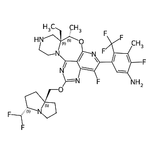 CC[C@]12CNCCN1c1nc(OC[C@@]34CCCN3[C@H](C(F)F)CC4)nc3c(F)c(-c4cc(N)c(F)c(C)c4C(F)(F)F)nc(c13)O[C@H]2C